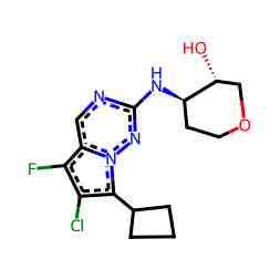 O[C@@H]1COCC[C@H]1Nc1ncc2c(F)c(Cl)c(C3CCC3)n2n1